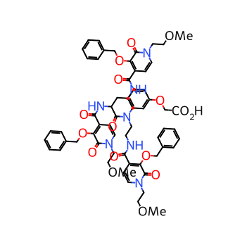 COCCn1ccc(C(=O)NCCN(CCNC(=O)c2ccn(CCOC)c(=O)c2OCc2ccccc2)C(=O)C(Cc2ccc(OCC(=O)O)cc2)NC(=O)c2ccn(CCOC)c(=O)c2OCc2ccccc2)c(OCc2ccccc2)c1=O